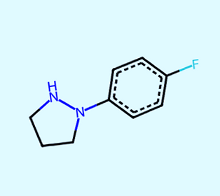 Fc1ccc(N2CCCN2)cc1